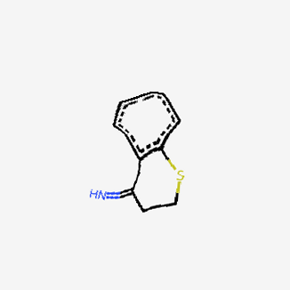 N=C1CCSc2ccccc21